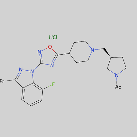 CC(=O)N1CC[C@H](CN2CCC(c3nc(-n4nc(C(C)C)c5cccc(F)c54)no3)CC2)C1.Cl